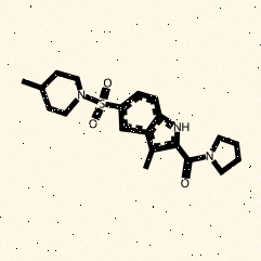 Cc1c(C(=O)N2CCCC2)[nH]c2ccc(S(=O)(=O)N3CCC(C)CC3)cc12